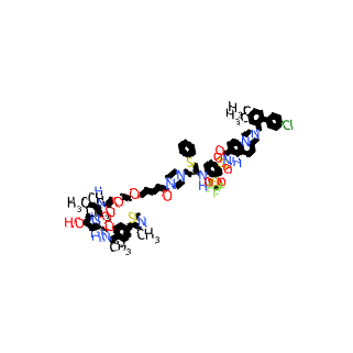 Cc1ncsc1-c1ccc([C@H](C)NC(=O)[C@@H]2C[C@@H](O)CN2C(=O)[C@@H](NC(=O)COCCOCCCCC(=O)N2CCN(CC[C@H](CSc3ccccc3)Nc3ccc(S(=O)(=O)NC(=O)c4ccc5c(c4)CCC4CN(CC6=C(c7ccc(Cl)cc7)CCC(C)(C)C6)CCN54)cc3S(=O)(=O)C(F)(F)F)CC2)C(C)(C)C)cc1